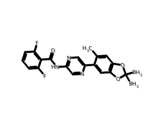 BC1(B)Oc2cc(C)c(-c3cnc(NC(=O)c4c(F)cccc4F)cn3)cc2O1